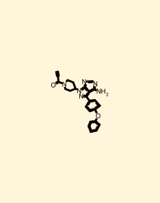 C#CC(=O)N1CCC(n2nc(-c3ccc(Oc4ccccc4)cc3)c3c(N)ncnc32)CC1